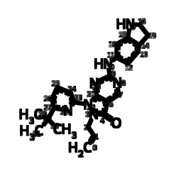 C=CCn1c(=O)c2cnc(Nc3ccc4c(c3)NCC4)nc2n1-c1cccc(C(C)(C)C)n1